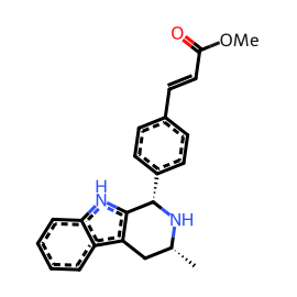 COC(=O)C=Cc1ccc([C@@H]2N[C@H](C)Cc3c2[nH]c2ccccc32)cc1